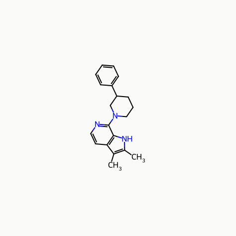 Cc1[nH]c2c(N3CCCC(c4ccccc4)C3)nccc2c1C